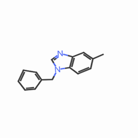 Cc1ccc2c(c1)ncn2Cc1ccccc1